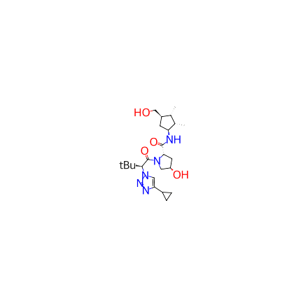 C[C@H]1[C@H](CO)C[C@H](NC(=O)[C@@H]2C[C@@H](O)CN2C(=O)[C@@H](n2cc(C3CC3)nn2)C(C)(C)C)[C@H]1C